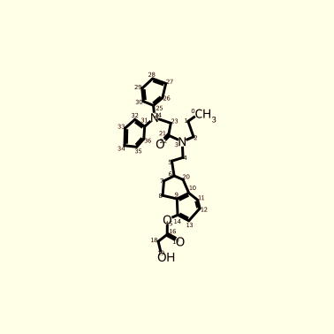 CCCN(CCC1CCc2c(cccc2OC(=O)CO)C1)C(=O)CN(c1ccccc1)c1ccccc1